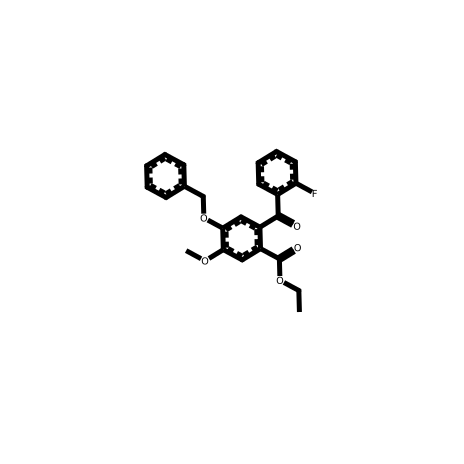 CCOC(=O)c1cc(OC)c(OCc2ccccc2)cc1C(=O)c1ccccc1F